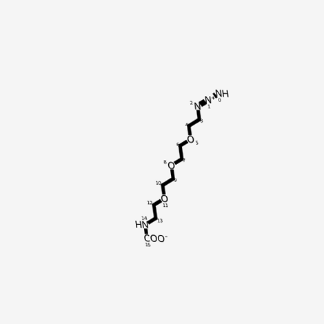 N=[N+]=NCCOCCOCCOCCNC(=O)[O-]